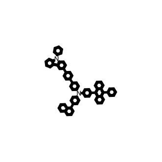 c1ccc(-c2c3ccccc3c(-c3ccc(N(c4ccc(-c5ccc(-c6ccc7c(c6)c6ccccc6n7-c6ccccc6)cc5)cc4)c4ccc(-c5cccc6ccccc56)cc4)cc3)c3ccccc23)cc1